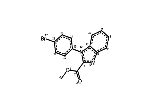 COC(=O)c1nc2ccccc2n1-c1ccc(Br)cc1